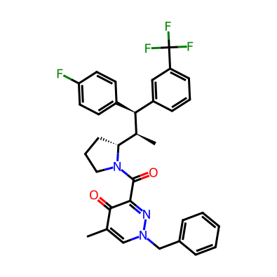 Cc1cn(Cc2ccccc2)nc(C(=O)N2CCC[C@@H]2[C@H](C)[C@@H](c2ccc(F)cc2)c2cccc(C(F)(F)F)c2)c1=O